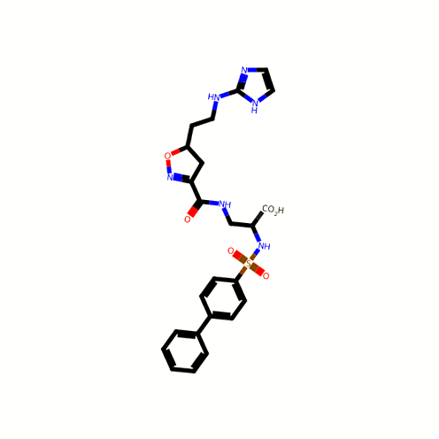 O=C(NCC(NS(=O)(=O)c1ccc(-c2ccccc2)cc1)C(=O)O)C1=NOC(CCNc2ncc[nH]2)C1